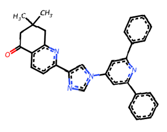 CC1(C)CC(=O)c2ccc(-c3cn(-c4cc(-c5ccccc5)nc(-c5ccccc5)c4)cn3)nc2C1